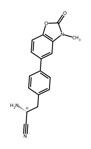 Cn1c(=O)oc2ccc(-c3ccc(C[C@@H](N)C#N)cc3)cc21